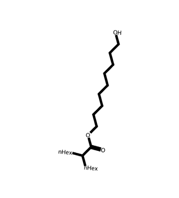 CCCCCCC(CCCCCC)C(=O)OCCCCCCCCCO